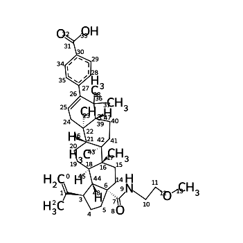 C=C(C)[C@@H]1CC[C@]2(C(=O)NCCOC)CC[C@]3(C)[C@H](CC[C@@H]4[C@@]5(C)CC=C(c6ccc(C(=O)O)cc6)C(C)(C)[C@@H]5CC[C@]43C)[C@@H]12